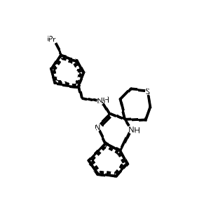 CC(C)c1ccc(CNC2=Nc3ccccc3NC23CCSCC3)cc1